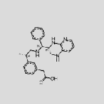 C[C@H](CN[C@@H](c1ccccc1)[C@H]1CNc2cccnc2N1)c1cccc(CC(=O)O)c1